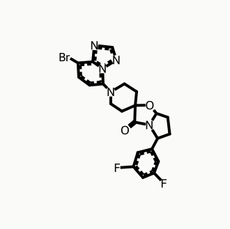 O=C1N2C(CCC2c2cc(F)cc(F)c2)OC12CCN(c1ccc(Br)c3ncnn13)CC2